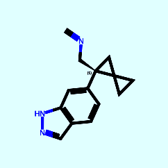 C=NC[C@@]1(c2ccc3cn[nH]c3c2)CC12CC2